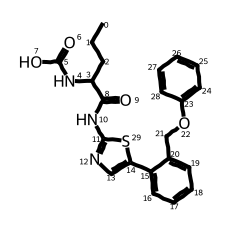 CCCC(NC(=O)O)C(=O)Nc1ncc(-c2ccccc2COc2ccccc2)s1